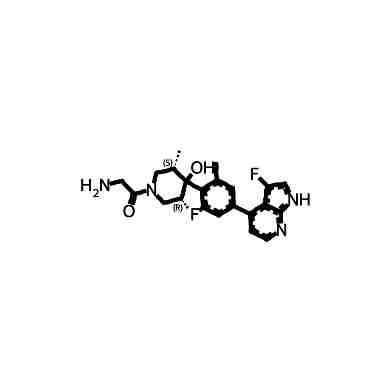 Cc1cc(-c2ccnc3[nH]cc(F)c23)cc(F)c1C1(O)[C@H](C)CN(C(=O)CN)C[C@@H]1C